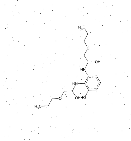 CCCOCC(O)Nc1cccc(O)c1NC(O)COCCC